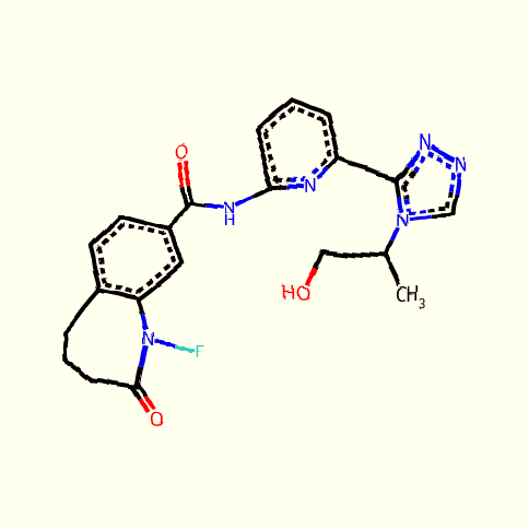 CC(CO)n1cnnc1-c1cccc(NC(=O)c2ccc3c(c2)N(F)C(=O)CCC3)n1